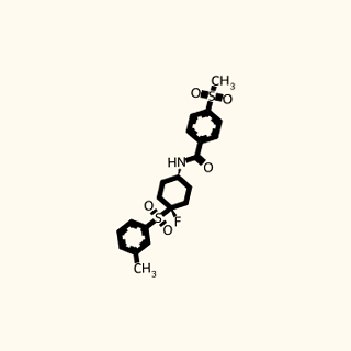 Cc1cccc(S(=O)(=O)[C@]2(F)CC[C@H](NC(=O)c3ccc(S(C)(=O)=O)cc3)CC2)c1